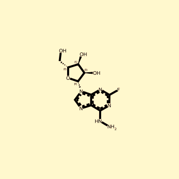 NNc1nc(F)nc2c1ncn2[C@@H]1O[C@H](CO)[C@@H](O)[C@H]1O